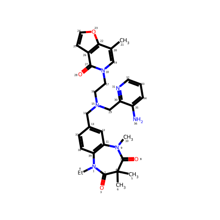 CCN1C(=O)C(C)(C)C(=O)N(C)c2cc(CN(CCn3cc(C)c4occc4c3=O)Cc3ncccc3N)ccc21